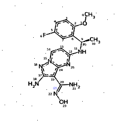 COc1ccc(F)cc1[C@@H](C)Nc1ccn2nc(N)c(/C(N)=N/O)c2n1